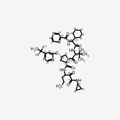 CCCC(NC(=O)[C@H]1C[C@H](Oc2cc(C(C)(F)F)ncn2)CN1C(=O)C(NC(=O)C(NC(=O)c1cnccn1)C1CCCCC1)C(C)(C)C)C(=O)C(=O)NC1CC1